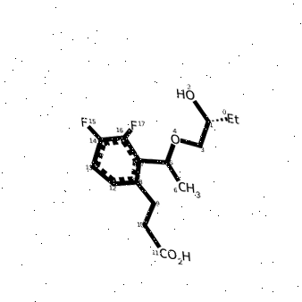 CC[C@@H](O)COC(C)c1c(CCC(=O)O)ccc(F)c1F